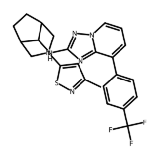 Cc1cc(N2CC3CCC(C2)C3Nc2nc3c(-c4ccc(C(F)(F)F)cc4)cccn3n2)sn1